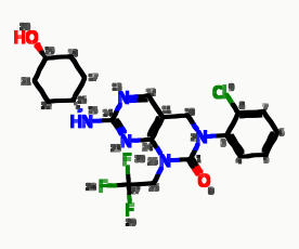 O=C1N(c2ccccc2Cl)Cc2cnc(N[C@H]3CC[C@H](O)CC3)nc2N1CC(F)(F)F